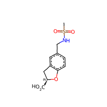 CS(=O)(=O)NCc1ccc2c(c1)C[C@H](C(=O)O)O2